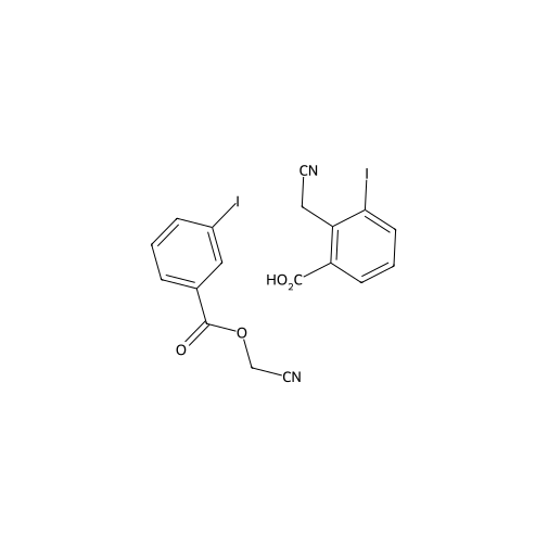 N#CCOC(=O)c1cccc(I)c1.N#CCc1c(I)cccc1C(=O)O